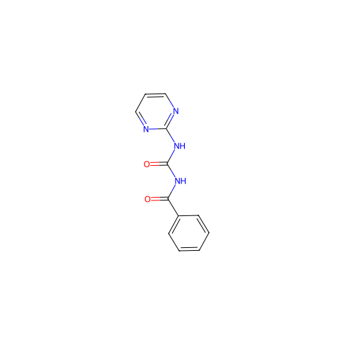 O=C(NC(=O)c1ccccc1)Nc1ncccn1